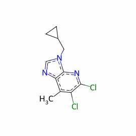 Cc1c(Cl)c(Cl)nc2c1ncn2CC1CC1